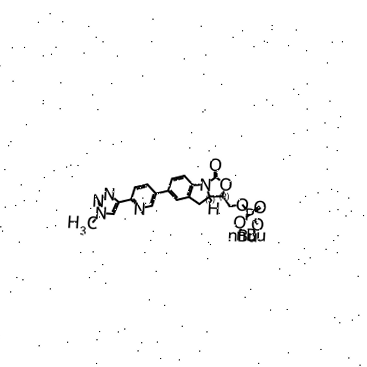 CCCCOP(=O)(OCCCC)OC[C@@H]1OC(=O)N2c3ccc(-c4ccc(-c5cn(C)nn5)nc4)cc3C[C@@H]12